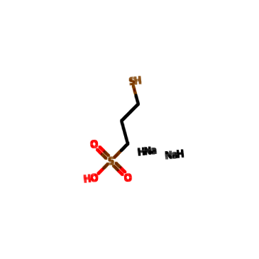 O=S(=O)(O)CCCS.[NaH].[NaH]